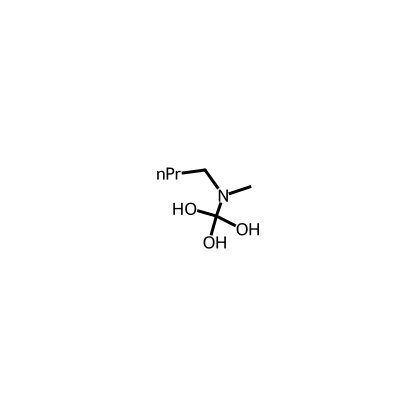 CCCCN(C)C(O)(O)O